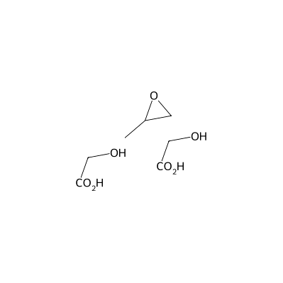 CC1CO1.O=C(O)CO.O=C(O)CO